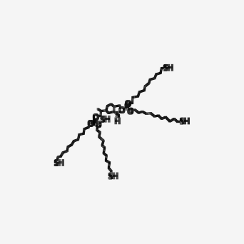 CC(C1CCC(COP(OCCCCCCCCCCCCS)OCCCCCCCCCCCCS)C(S)C1)C(S)OP(OCCCCCCCCCCCCS)OCCCCCCCCCCCCS